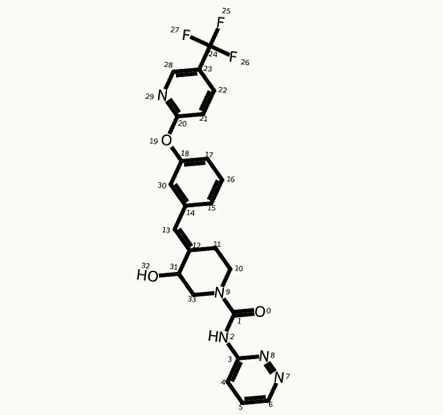 O=C(Nc1cccnn1)N1CCC(=Cc2cccc(Oc3ccc(C(F)(F)F)cn3)c2)C(O)C1